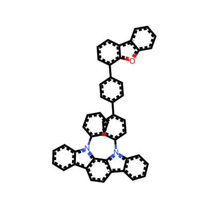 c1ccc(-n2c3ccccc3c3ccc4c5ccccc5n(-c5ccc(-c6ccc(-c7cccc8c7oc7ccccc78)cc6)cc5)c4c32)cc1